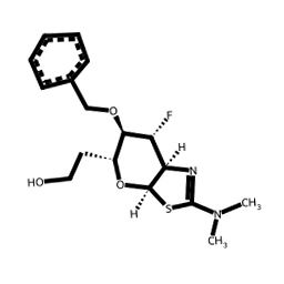 CN(C)C1=N[C@@H]2[C@@H](F)[C@H](OCc3ccccc3)[C@@H](CCO)O[C@@H]2S1